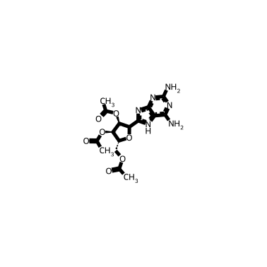 CC(=O)OC[C@H]1OC(c2nc3nc(N)nc(N)c3[nH]2)[C@H](OC(C)=O)[C@@H]1OC(C)=O